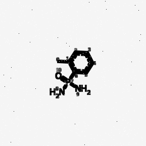 Cc1ccccc1P(N)(N)=O